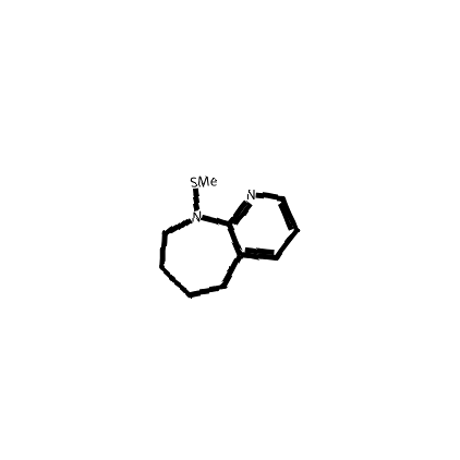 CSN1CCCCc2cccnc21